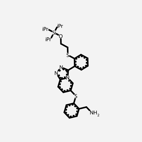 CC(C)[Si](OCCSc1ccccc1-c1nnc2ccc(Sc3ccccc3CN)cn12)(C(C)C)C(C)C